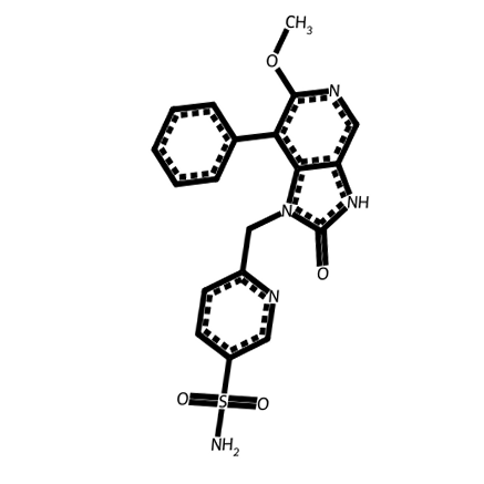 COc1ncc2[nH]c(=O)n(Cc3ccc(S(N)(=O)=O)cn3)c2c1-c1ccccc1